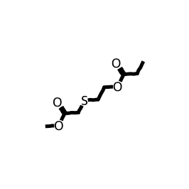 CCC(=O)OCCSCC(=O)OC